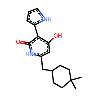 CC1(C)CCC(Cc2cc(O)c(-c3ccc[nH]3)c(=O)[nH]2)CC1